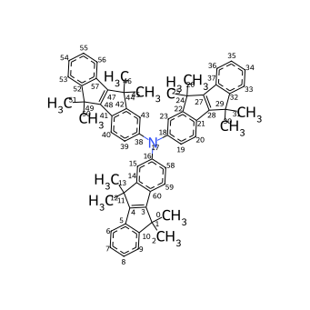 CC1(C)C2=C(c3ccccc31)C(C)(C)c1cc(N(c3ccc4c(c3)C(C)(C)C3=C4C(C)(C)c4ccccc43)c3ccc4c(c3)C(C)(C)C3=C4C(C)(C)c4ccccc43)ccc12